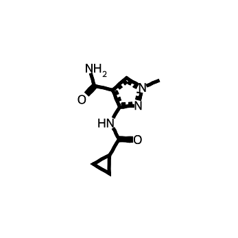 Cn1cc(C(N)=O)c(NC(=O)C2CC2)n1